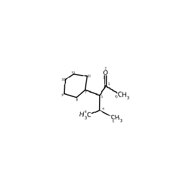 CC(=O)C(C(C)C)C1CCCCC1